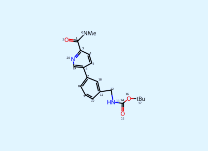 CNC(=O)c1ccc(-c2cccc(CNC(=O)OC(C)(C)C)c2)cn1